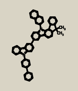 CC1(C)c2ccccc2-c2c1ccc1c3cc(-c4ccc5c(c4)c4ccccc4n5-c4ccc(-c5ccccc5)cc4)ccc3n(-c3ccc4ccccc4c3)c21